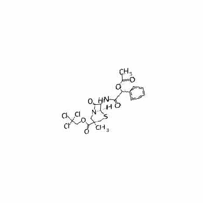 CC(=O)OC(C(=O)NC1C(=O)N2CC(C)(C(=O)OCC(Cl)(Cl)Cl)CS[C@H]12)c1ccccc1